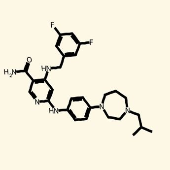 CC(C)CN1CCCN(c2ccc(Nc3cc(NCc4cc(F)cc(F)c4)c(C(N)=O)cn3)cc2)CC1